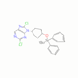 CC(C)(C)[Si](OC1CCC(n2c(Cl)nc3cnc(Cl)nc32)CC1)(c1ccccc1)c1ccccc1